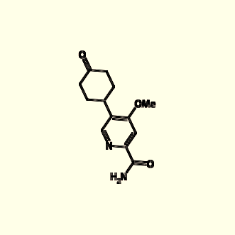 COc1cc(C(N)=O)ncc1C1CCC(=O)CC1